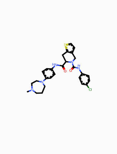 CN1CCCN(c2ccc(NC(=O)C3Cc4sccc4CN3C(=O)Nc3ccc(Cl)cc3)cc2)CC1